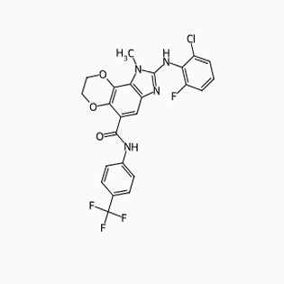 Cn1c(Nc2c(F)cccc2Cl)nc2cc(C(=O)Nc3ccc(C(F)(F)F)cc3)c3c(c21)OCCO3